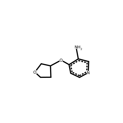 Nc1cnccc1OC1CCOC1